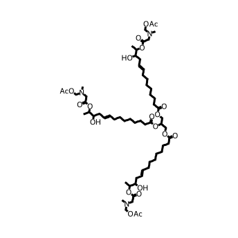 CC(=O)OCN(C)CC(=O)OC(C)C(O)CC=CCCCCCCCC(=O)OCC(COC(=O)CCCCCCCC=CCC(O)C(C)OC(=O)CN(C)COC(C)=O)OC(=O)CCCCCCCC=CCC(O)C(C)OC(=O)CN(C)COC(C)=O